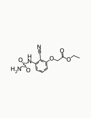 CCOC(=O)COc1cccc(NS(N)(=O)=O)c1C#N